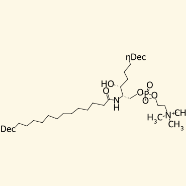 CCCCCCCCCCCCCCCCCCCCCCC(=O)N[C@@H](COP(=O)([O-])OCC[N+](C)(C)C)[C@H](O)CCCCCCCCCCCCC